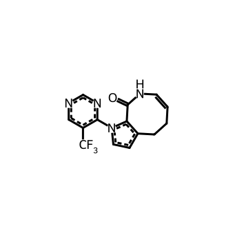 O=C1NC=CCCc2ccn(-c3ncncc3C(F)(F)F)c21